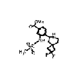 COC(=O)c1ccc(C2CC3(CCN2)CC(F)(F)C3)c(NCCS(C)(=O)=O)c1